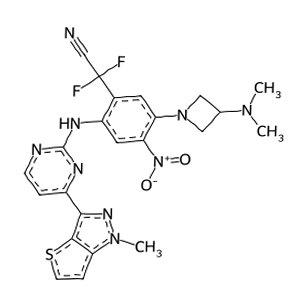 CN(C)C1CN(c2cc(C(F)(F)C#N)c(Nc3nccc(-c4nn(C)c5ccsc45)n3)cc2[N+](=O)[O-])C1